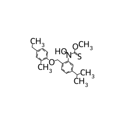 CCc1ccc(OCc2ccc(C(C)C)cc2N(O)C(=S)OC)c(C)c1